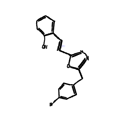 Oc1ccccc1/C=C/c1nnc(Cc2ccc(Br)cc2)o1